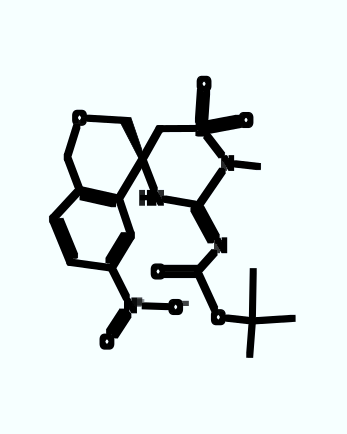 CN1/C(=N/C(=O)OC(C)(C)C)N[C@@]2(COCc3ccc([N+](=O)[O-])cc32)CS1(=O)=O